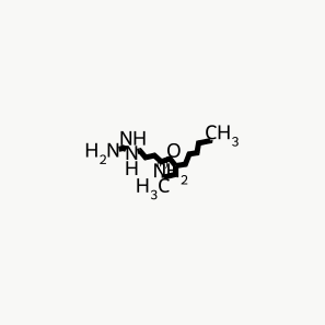 CCCCCCC(CCC)C(=O)[C@H](N)CCCNC(=N)N